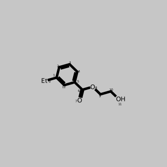 CCc1cccc(C(=O)OCCO)c1